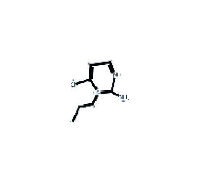 CCCN1C(Cl)=CC=NC1N